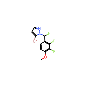 COc1ccc(C(F)n2nccc2Br)c(F)c1F